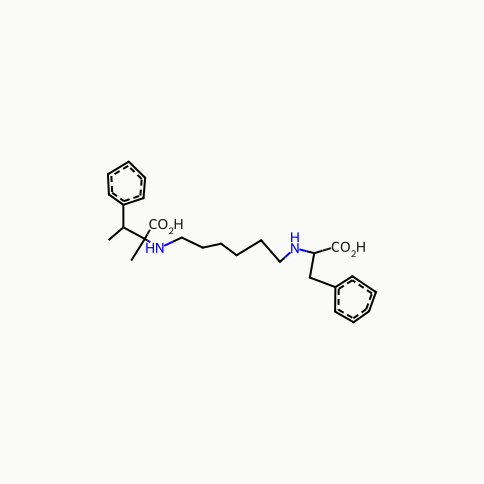 CC(c1ccccc1)C(C)(NCCCCCCNC(Cc1ccccc1)C(=O)O)C(=O)O